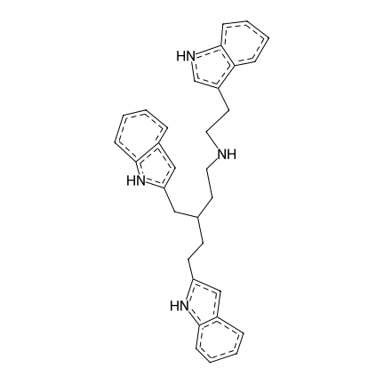 c1ccc2[nH]c(CCC(CCNCCc3c[nH]c4ccccc34)Cc3cc4ccccc4[nH]3)cc2c1